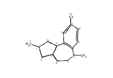 CN1CC2CCN(C)c3ccc(Cl)cc3C2C1